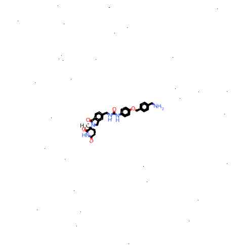 CC1(N2Cc3cc(CNC(=O)Nc4ccc(OCc5ccc(CN)cc5)cc4)ccc3C2=O)CCC(=O)NC1=O